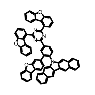 c1ccc2cc3c(cc2c1)c1cc2ccccc2cc1n3-c1ccc(-c2nc(-c3cccc4oc5ccccc5c34)nc(-c3cccc4oc5ccccc5c34)n2)cc1-c1ccc2c(c1)oc1ccccc12